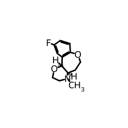 CN1CCO[C@@H]2c3cc(F)ccc3OCC[C@H]21